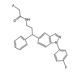 O=C(CF)NCCC(c1ccccc1)c1ccc2c(cnn2-c2ccc(F)cc2)c1